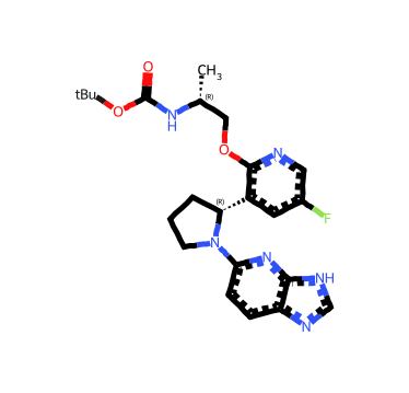 C[C@H](COc1ncc(F)cc1[C@H]1CCCN1c1ccc2nc[nH]c2n1)NC(=O)OC(C)(C)C